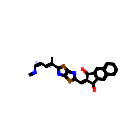 C=N/C=C\C=C(/C)c1nc2sc(C=C3C(=O)c4cc5ccccc5cc4C3=O)nc2s1